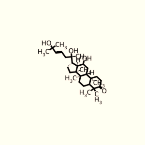 CC(C)(O)C=CC[C@](C)(O)[C@H]1CC[C@@]2(C)[C@@H]1C(O)C[C@@H]1[C@@]3(C)CCC(=O)C(C)(C)C3CC[C@]12C